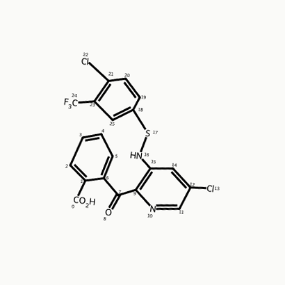 O=C(O)c1ccccc1C(=O)c1ncc(Cl)cc1NSc1ccc(Cl)c(C(F)(F)F)c1